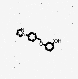 Oc1cccc(OCc2ccc(-n3cccn3)cc2)c1